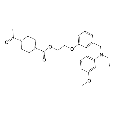 CCN(Cc1cccc(OCCOC(=O)N2CCN(C(C)=O)CC2)c1)c1cccc(OC)c1